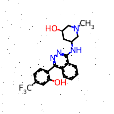 CN1CC(Nc2nnc(-c3ccc(C(F)(F)F)cc3O)c3ccccc23)C[C@@H](O)C1